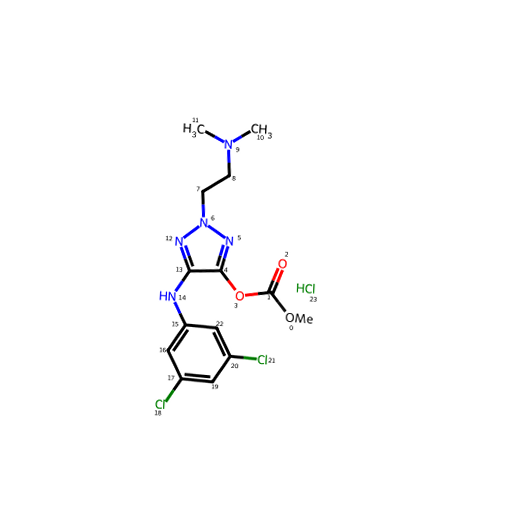 COC(=O)Oc1nn(CCN(C)C)nc1Nc1cc(Cl)cc(Cl)c1.Cl